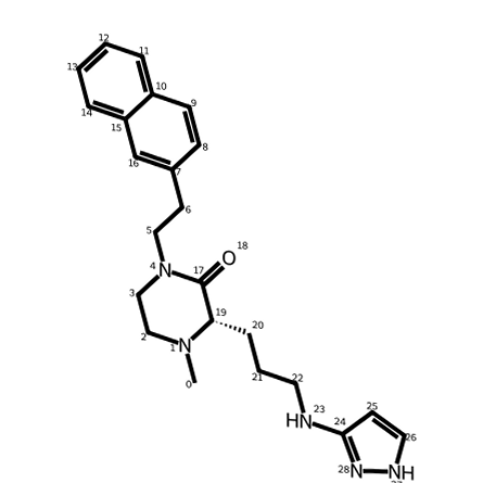 CN1CCN(CCc2ccc3ccccc3c2)C(=O)[C@@H]1CCCNc1cc[nH]n1